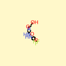 O=C(Nc1ccc(OC(F)(F)F)cc1)NC1CCN(C(=O)CCCO)CC1